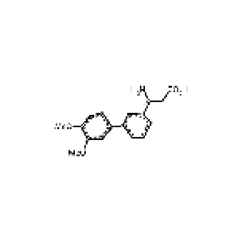 COc1ccc(-c2cccc([C@@H](N)CC(=O)O)c2)cc1OC